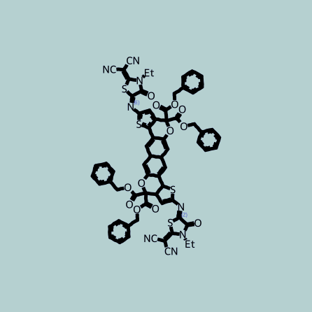 CCN1C(=O)/C(=N/C2=CC3C(S2)C2=CC4C=C5OC(C(=O)OCc6ccccc6)(C(=O)OCc6ccccc6)c6cc(/N=C7/SC(=C(C#N)C#N)N(CC)C7=O)sc6C5=CC4C=C2OC3(C(=O)OCc2ccccc2)C(=O)OCc2ccccc2)SC1=C(C#N)C#N